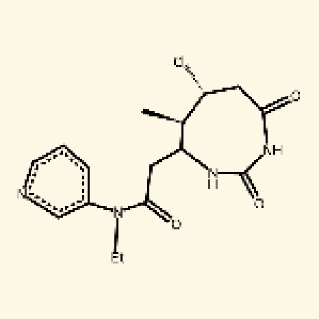 CCN(C(=O)CC1NC(=O)NC(=O)C[C@@H](Cl)[C@@H]1C)c1cccnc1